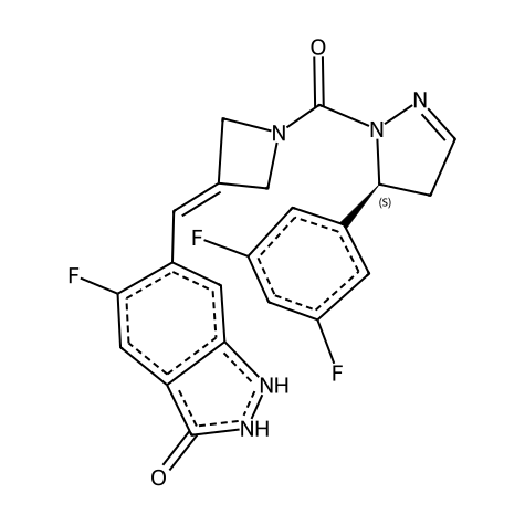 O=C(N1CC(=Cc2cc3[nH][nH]c(=O)c3cc2F)C1)N1N=CC[C@H]1c1cc(F)cc(F)c1